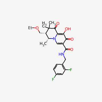 CCOC[C@H]1[C@@H](C)n2cc(C(=O)NCc3ccc(F)cc3F)c(=O)c(O)c2C(=O)C1(C)C